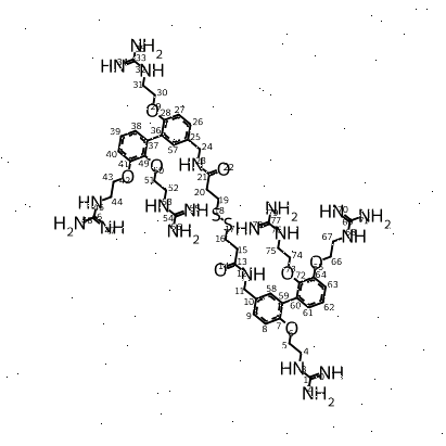 N=C(N)NCCOc1ccc(CNC(=O)CCSSCCC(=O)NCc2ccc(OCCNC(=N)N)c(-c3cccc(OCCNC(=N)N)c3OCCNC(=N)N)c2)cc1-c1cccc(OCCNC(=N)N)c1OCCNC(=N)N